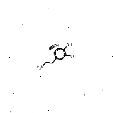 C#N.NCCc1ccc(O)c(O)c1